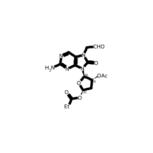 CCC(=O)O[C@H]1C[C@@H](OC(C)=O)[C@H](n2c(=O)n(CC=O)c3cnc(N)nc32)O1